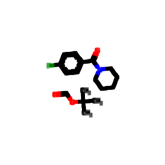 CC(C)(C)OC=O.O=C(c1ccc(F)cc1)N1CCCCC1